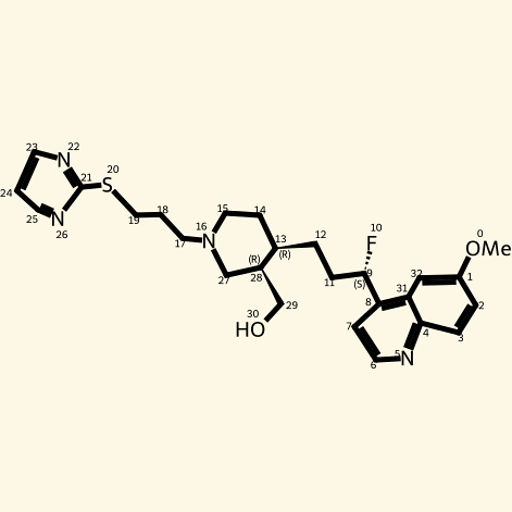 COc1ccc2nccc([C@@H](F)CC[C@@H]3CCN(CCCSc4ncccn4)C[C@@H]3CO)c2c1